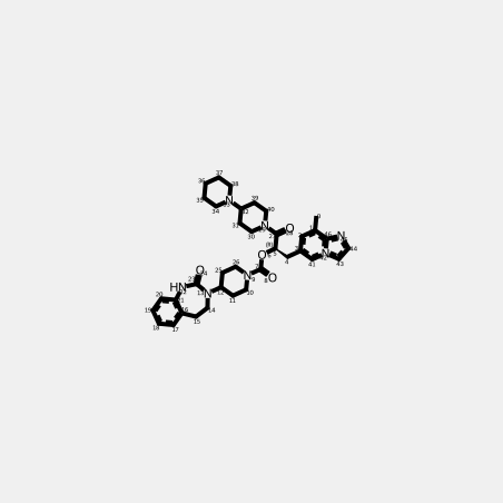 Cc1cc(C[C@@H](OC(=O)N2CCC(N3CCc4ccccc4NC3=O)CC2)C(=O)N2CCC(N3CCCCC3)CC2)cn2ccnc12